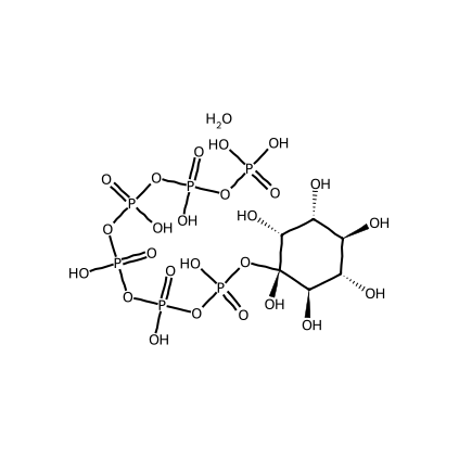 O.O=P(O)(O)OP(=O)(O)OP(=O)(O)OP(=O)(O)OP(=O)(O)OP(=O)(O)O[C@]1(O)[C@H](O)[C@H](O)[C@@H](O)[C@H](O)[C@H]1O